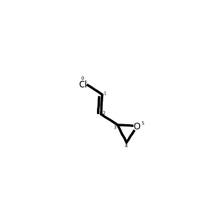 ClC=CC1CO1